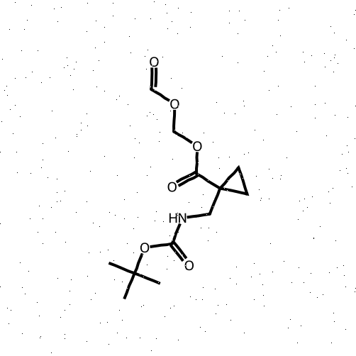 CC(C)(C)OC(=O)NCC1(C(=O)OCOC=O)CC1